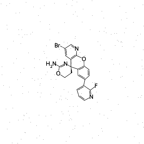 NC1=N[C@@]2(CCO1)c1cc(-c3cccnc3F)ccc1Oc1ncc(Br)cc12